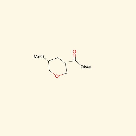 COC(=O)[C@@H]1COC[C@H](OC)C1